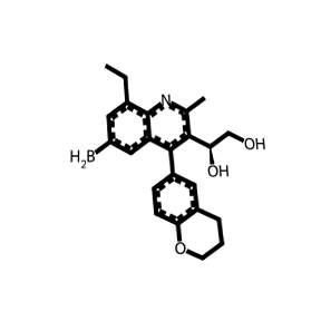 Bc1cc(CC)c2nc(C)c([C@H](O)CO)c(-c3ccc4c(c3)CCCO4)c2c1